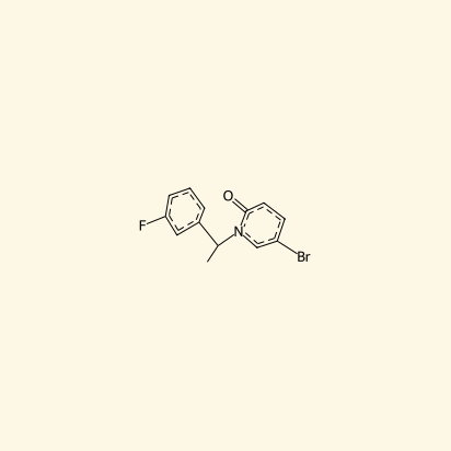 CC(c1cccc(F)c1)n1cc(Br)ccc1=O